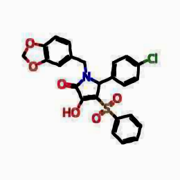 O=C1C(O)=C(S(=O)(=O)c2ccccc2)C(c2ccc(Cl)cc2)N1Cc1ccc2c(c1)OCO2